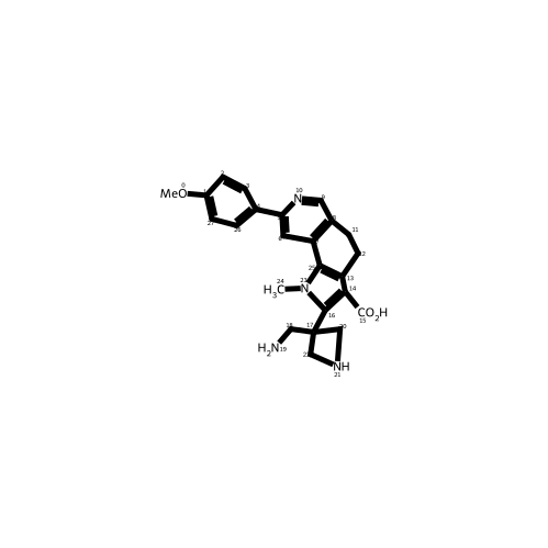 COc1ccc(-c2cc3c(cn2)CCc2c(C(=O)O)c(C4(CN)CNC4)n(C)c2-3)cc1